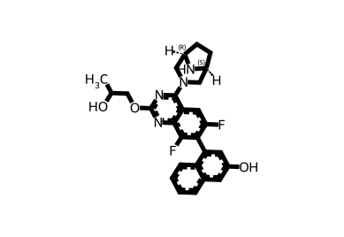 CC(O)COc1nc(N2C[C@H]3CC[C@@H](C2)N3)c2cc(F)c(-c3cc(O)cc4ccccc34)c(F)c2n1